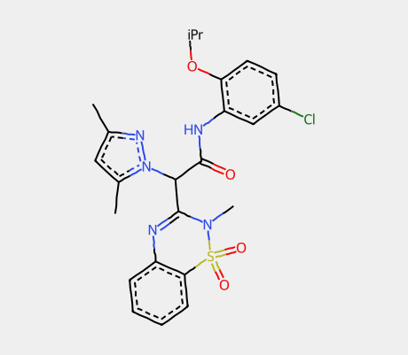 Cc1cc(C)n(C(C(=O)Nc2cc(Cl)ccc2OC(C)C)C2=Nc3ccccc3S(=O)(=O)N2C)n1